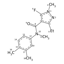 CCc1nn(C)c(F)c1C(=O)N(C)c1ccc(C)c(C)c1